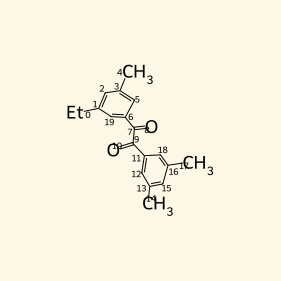 CCc1cc(C)cc(C(=O)C(=O)c2cc(C)cc(C)c2)c1